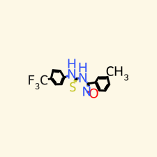 Cc1ccc2onc(NC(=S)Nc3ccc(C(F)(F)F)cc3)c2c1